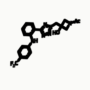 CC(=O)N1CC(O)(Cn2nnc(-c3ccccc3Nc3ccc(C(F)(F)F)cc3)n2)C1